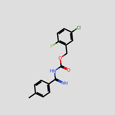 Cc1ccc(C(=N)NC(=O)OCc2cc(Cl)ccc2F)cc1